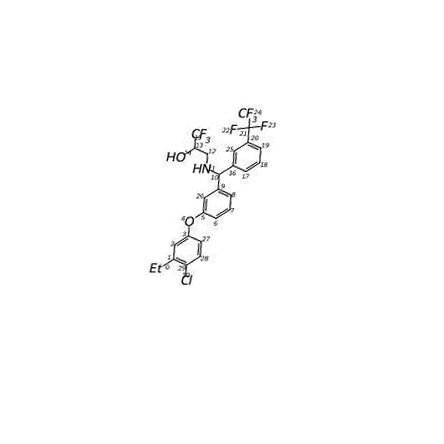 CCc1cc(Oc2cccc(C(NCC(O)C(F)(F)F)c3cccc(C(F)(F)C(F)(F)F)c3)c2)ccc1Cl